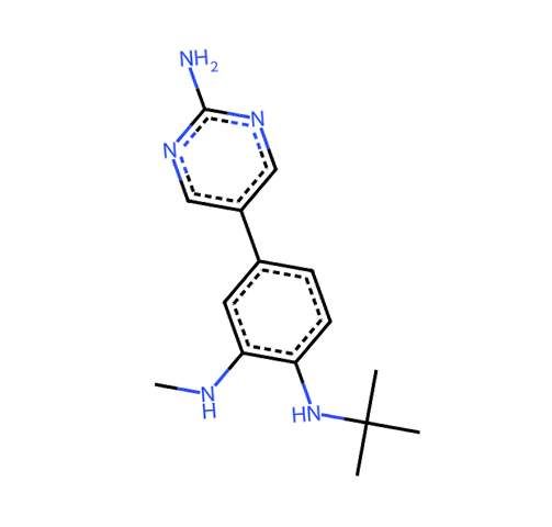 CNc1cc(-c2cnc(N)nc2)ccc1NC(C)(C)C